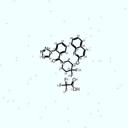 O=C(O)C(F)(F)F.O=C(c1ccccc1-n1cnnn1)N1CCC(F)(F)[C@@H](Oc2ccc3ccccc3n2)C1